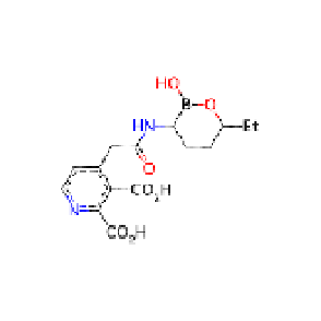 CCC1CCC(NC(=O)Cc2ccnc(C(=O)O)c2C(=O)O)B(O)O1